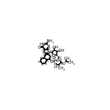 CC(C)OC(=O)[C@H](C)NP(=O)(OC[C@H]1O[C@@H](n2cnc3c(=O)[nH]c(N)nc32)C(O)[C@@H]1O)Oc1cccc2ccccc12